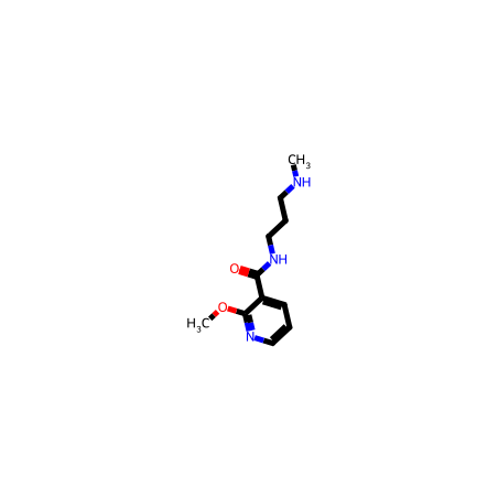 CNCCCNC(=O)c1cccnc1OC